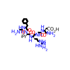 CC(C)[C@H](NC(=O)C(Cc1ccccc1)NC(=O)CN)C(=O)N[C@@H](CCCNC(=N)N)C(=O)NCC(=O)N[C@@H](CC(=O)O)C(N)=O